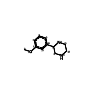 COc1cccc(C2CNCC[N]2)c1